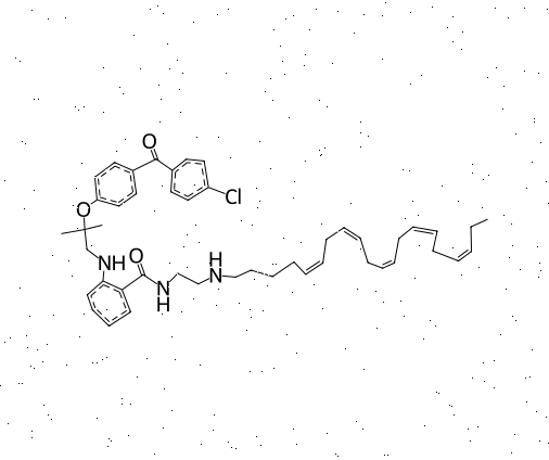 CC/C=C\C/C=C\C/C=C\C/C=C\C/C=C\CCCCNCCNC(=O)c1ccccc1NCC(C)(C)Oc1ccc(C(=O)c2ccc(Cl)cc2)cc1